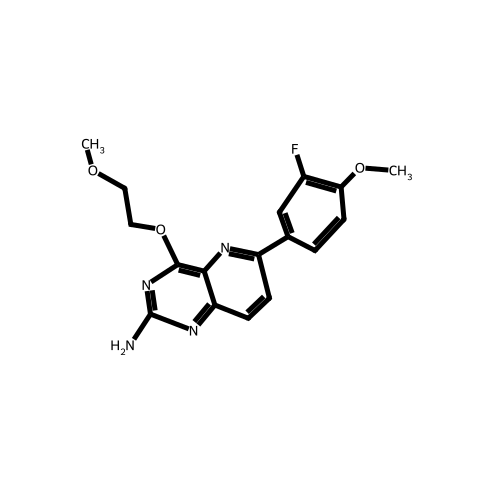 COCCOc1nc(N)nc2ccc(-c3ccc(OC)c(F)c3)nc12